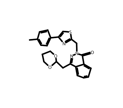 Cc1ccc(-c2csc(Cn3nc(CC4OCCCO4)c4ccccc4c3=O)n2)cc1